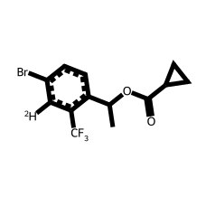 [2H]c1c(Br)ccc(C(C)OC(=O)C2CC2)c1C(F)(F)F